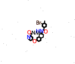 CNC(=O)c1cc(Oc2ccc3c(c2)CC(NC(=O)c2ccc(C)c(Br)c2)CC3)ccn1